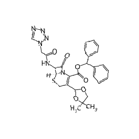 CC1(C)COC(C2=C(C(=O)OC(c3ccccc3)c3ccccc3)N3C(=O)C(NC(=O)Cn4cnnn4)[C@@H]3SC2)O1